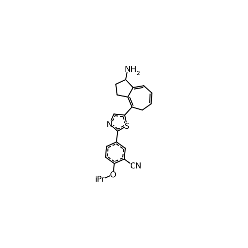 CC(C)Oc1ccc(-c2ncc(C3=C4CCC(N)C4=CC=CC3)s2)cc1C#N